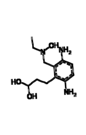 CCN(O)Cc1c(N)ccc(N)c1CCC(O)O